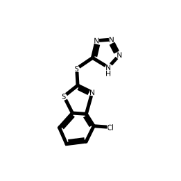 Clc1cccc2sc(Sc3nnn[nH]3)nc12